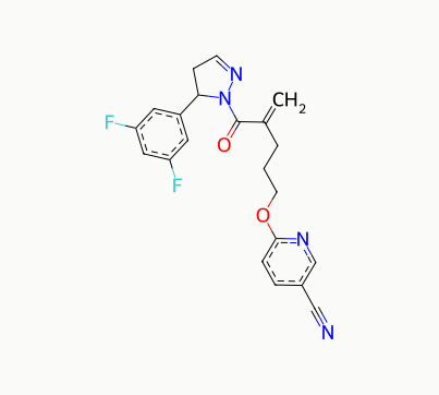 C=C(CCCOc1ccc(C#N)cn1)C(=O)N1N=CCC1c1cc(F)cc(F)c1